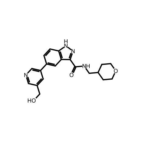 O=C(NCC1CCOCC1)c1n[nH]c2ccc(-c3cncc(CO)c3)cc12